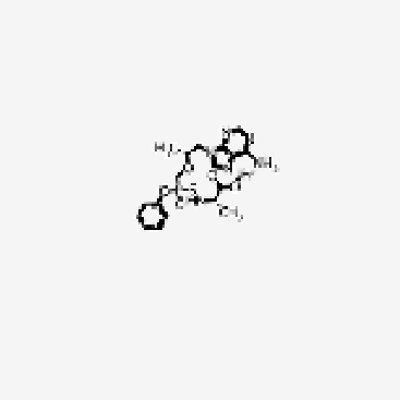 CC(C)OC(=O)[C@H](C)NSP(=O)(CO[C@H](C)Cn1cnc2c(N)ncnc21)Oc1ccccc1